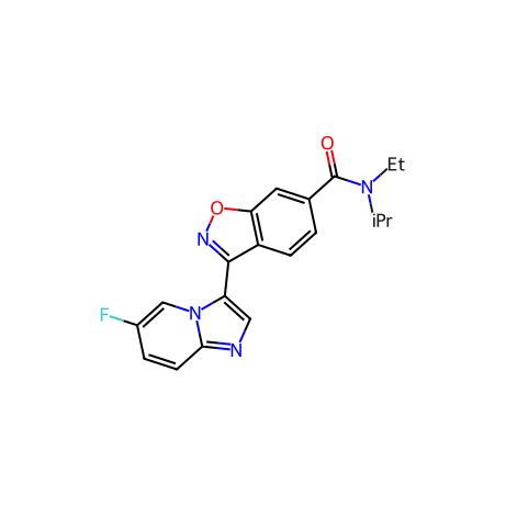 CCN(C(=O)c1ccc2c(-c3cnc4ccc(F)cn34)noc2c1)C(C)C